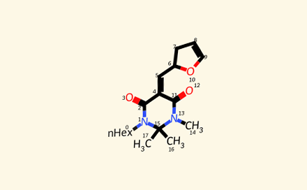 CCCCCCN1C(=O)/C(=C/C2CC=CO2)C(=O)N(C)C1(C)C